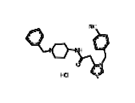 Cl.N#Cc1ccc(Cn2cncc2CC(=O)NC2CCN(Cc3ccccc3)CC2)cc1